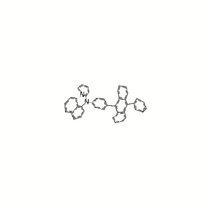 c1ccc(-c2c3ccccc3c(-c3ccc(N(c4ccccn4)c4cccc5ccccc45)cc3)c3ccccc23)cc1